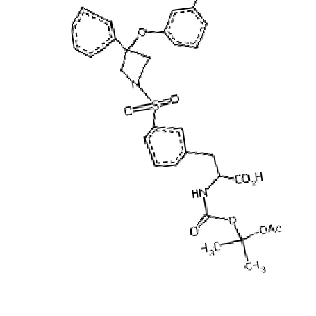 CC(=O)OC(C)(C)OC(=O)NC(Cc1cccc(S(=O)(=O)N2CC(Oc3cccc(F)c3)(c3ccccc3)C2)c1)C(=O)O